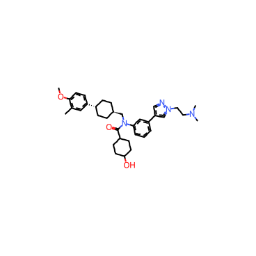 COc1ccc([C@H]2CC[C@H](CN(C(=O)C3CCC(O)CC3)c3cccc(-c4cnn(CCN(C)C)c4)c3)CC2)cc1C